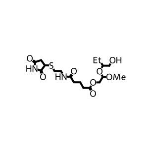 CCC(CO)OC(COC(=O)CCCC(=O)NCCSC1CC(=O)NC1=O)OC